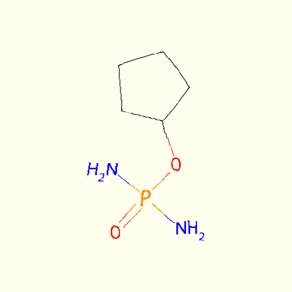 NP(N)(=O)OC1CCCC1